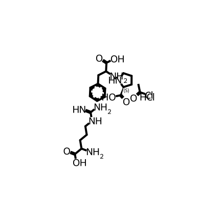 CC(=O)Cl.Cl.N=C(N)NCCCC(N)C(=O)O.NC(Cc1ccccc1)C(=O)O.O=C(O)[C@@H]1CCCN1